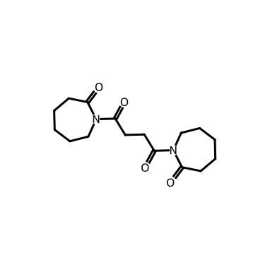 O=C1CCCCCN1C(=O)CCC(=O)N1CCCCCC1=O